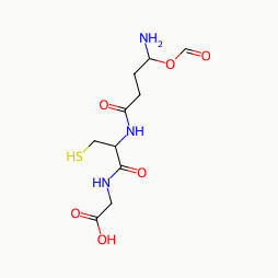 NC(CCC(=O)NC(CS)C(=O)NCC(=O)O)OC=O